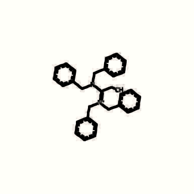 CCC(N(Cc1ccccc1)Cc1ccccc1)=[N+](Cc1ccccc1)Cc1ccccc1